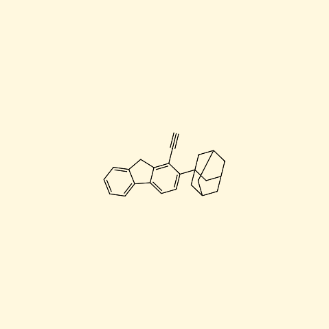 C#Cc1c(C23CC4CC(CC(C4)C2)C3)ccc2c1Cc1ccccc1-2